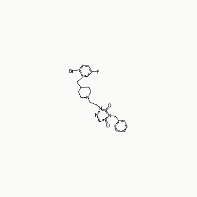 O=c1cnn(CCN2CCC(Cc3cc(F)ccc3Br)CC2)c(=O)n1Cc1ccccc1